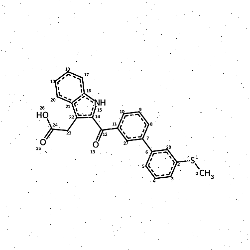 CSc1cccc(-c2cccc(C(=O)c3[nH]c4ccccc4c3CC(=O)O)c2)c1